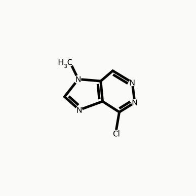 Cn1cnc2c(Cl)nncc21